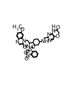 COc1ccc2ncc(=O)n(CC(NS(=O)(=O)c3ccccc3[N+](=O)[O-])C3CCC(NCc4ncc5c(n4)NC(=O)CO5)CC3)c2c1